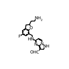 NCCC1Cc2cc(F)cc(CNC3=NC4=C(C=O)CNN4C=C3)c2O1